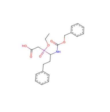 CCOP(=O)(CC(=O)O)C(CCc1ccccc1)NC(=O)OCc1ccccc1